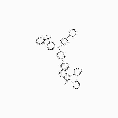 Cn1c(-c2ccccc2)c(-c2ccccc2)c2c3ccc(-c4ccc(N(c5ccc(-c6ccccc6)cc5)c5ccc6c(c5)C(C)(C)c5ccccc5-6)cc4)cc3ccc21